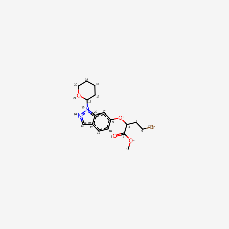 COC(=O)C(CCBr)Oc1ccc2cnn(C3CCCCO3)c2c1